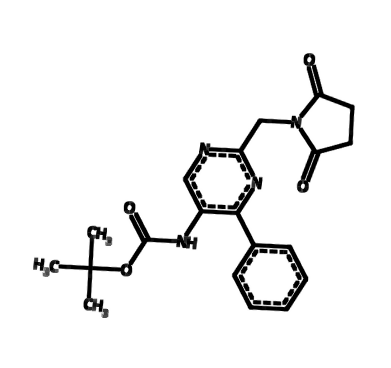 CC(C)(C)OC(=O)Nc1cnc(CN2C(=O)CCC2=O)nc1-c1ccccc1